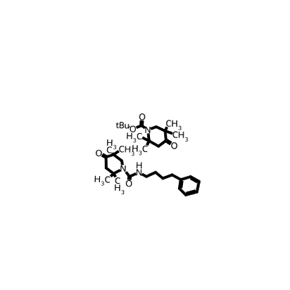 CC(C)(C)OC(=O)N1CC(C)(C)C(=O)CC1(C)C.CC1(C)CN(C(=O)NCCCCc2ccccc2)C(C)(C)CC1=O